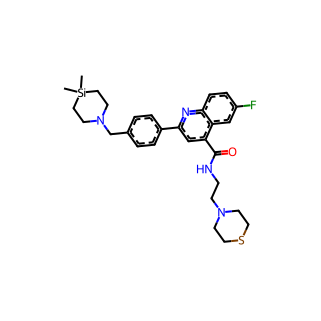 C[Si]1(C)CCN(Cc2ccc(-c3cc(C(=O)NCCN4CCSCC4)c4cc(F)ccc4n3)cc2)CC1